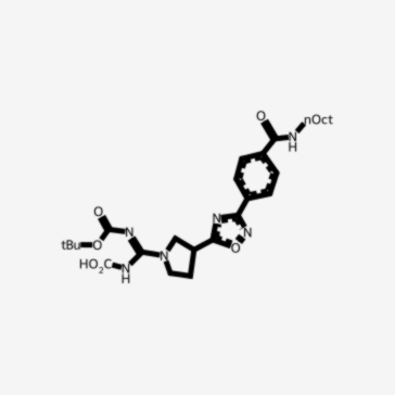 CCCCCCCCNC(=O)c1ccc(-c2noc(C3CCN(C(=NC(=O)OC(C)(C)C)NC(=O)O)C3)n2)cc1